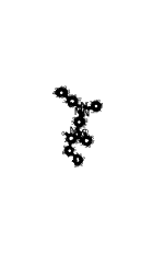 CC1CC(c2cccc(-c3ccccc3)c2)=Cc2c1nc(-c1ccc(-c3nc(-c4ccccc4)nc(-c4ccc(-c5ccccc5)cc4)n3)cc1)c1c2C2(C)CC=CC=C2S1